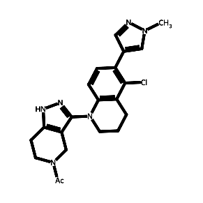 CC(=O)N1CCc2[nH]nc(N3CCCc4c3ccc(-c3cnn(C)c3)c4Cl)c2C1